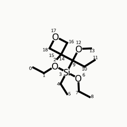 CCO[Si](CC)(OCC)C(CC)(OC)C1(C)COC1